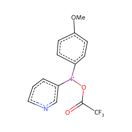 COc1ccc([I+](OC(=O)C(F)(F)F)c2cccnc2)cc1